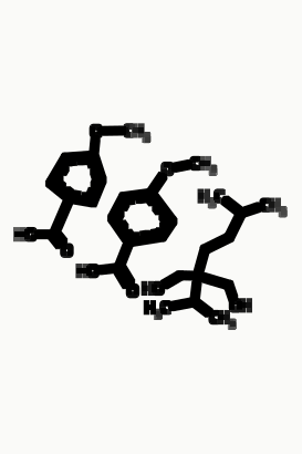 CC(C)CCC(CO)(CO)C(C)C.COc1ccc(C(=O)O)cc1.COc1ccc(C(=O)O)cc1